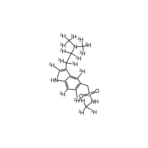 [2H]c1[nH]c2c([2H])c([2H])c(CS(=O)(=O)NC([2H])([2H])[2H])c([2H])c2c1C([2H])([2H])C([2H])([2H])N(C([2H])([2H])[2H])C([2H])([2H])[2H]